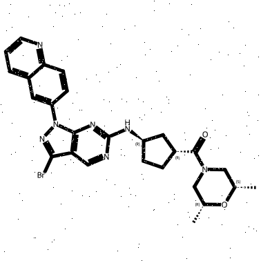 C[C@@H]1CN(C(=O)[C@@H]2CC[C@@H](Nc3ncc4c(Br)nn(-c5ccc6ncccc6c5)c4n3)C2)C[C@H](C)O1